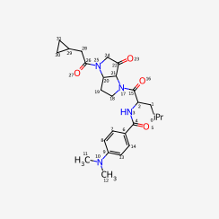 CC(C)CC(NC(=O)c1ccc(N(C)C)cc1)C(=O)N1CCC2C1C(=O)CN2C(=O)CC1CC1